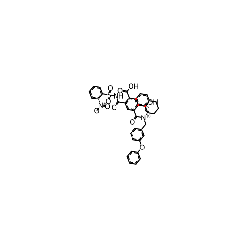 O=C(O)c1cc(C(=O)O)c(C(=O)N(Cc2cccc(Oc3ccccc3)c2)[C@H]2CCCc3ccccc32)cc1C(=O)NS(=O)(=O)c1ccccc1[N+](=O)[O-]